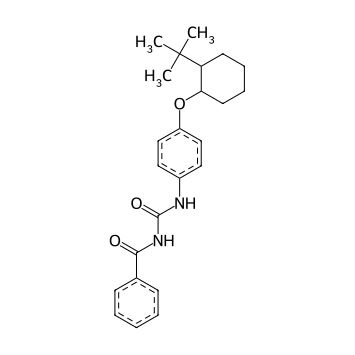 CC(C)(C)C1CCCCC1Oc1ccc(NC(=O)NC(=O)c2ccccc2)cc1